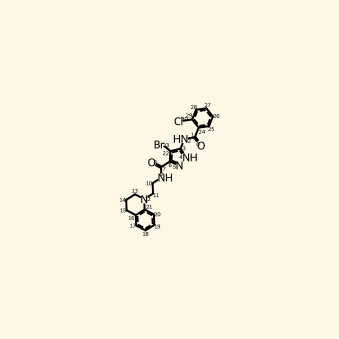 O=C(Nc1[nH]nc(C(=O)NCCN2CCCc3ccccc32)c1Br)c1ccccc1Cl